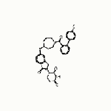 O=C1CCC(N2Cc3cc(SC4CCCN(C(=O)c5ccccc5-c5ccc(Cl)cc5)CC4)ccc3C2=O)C(=O)N1